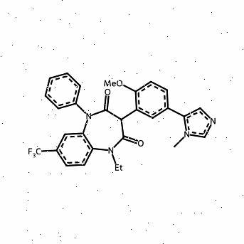 CCN1C(=O)C(c2cc(-c3cncn3C)ccc2OC)C(=O)N(c2ccccc2)c2cc(C(F)(F)F)ccc21